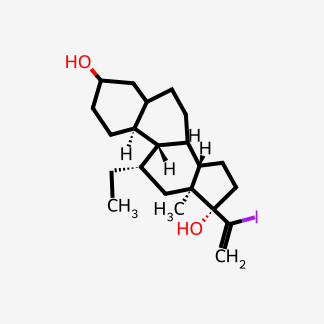 C=C(I)[C@]1(O)CC[C@H]2[C@@H]3CCC4CC(O)CC[C@@H]4[C@H]3[C@@H](CC)C[C@@]21C